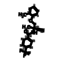 Cc1ccccc1OCC(C)(C#N)NC(=O)c1ccc(C(F)(F)F)cc1